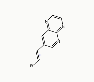 CC/C=C/c1cnc2nccnc2c1